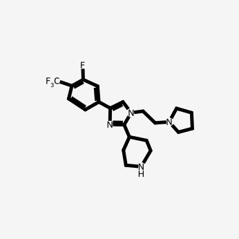 Fc1cc(-c2cn(CCN3CCCC3)c(C3CCNCC3)n2)ccc1C(F)(F)F